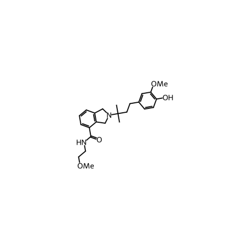 COCCNC(=O)c1cccc2c1CN(C(C)(C)CCc1ccc(O)c(OC)c1)C2